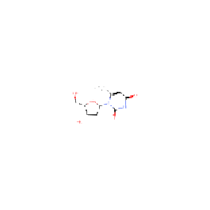 O=C(O)c1cc(=O)[nH]c(=O)n1[C@H]1C[C@H](O)[C@@H](CO)O1